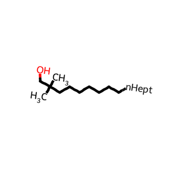 CCCCCCCCCCCCCCC(C)(C)CO